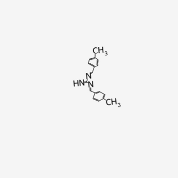 Cc1ccc(C=NC(=N)N=Cc2ccc(C)cc2)cc1